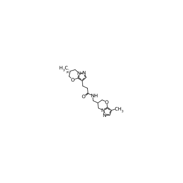 Cc1cnn2c1OCC(CNC(=O)CCc1cnn3c1OC[C@H](C)C3)C2